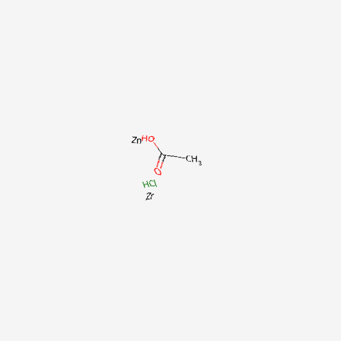 CC(=O)O.Cl.[Zn].[Zr]